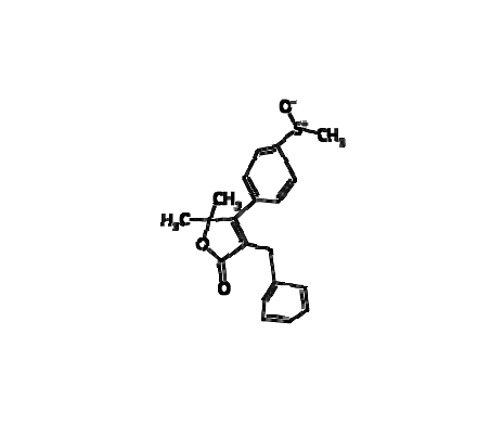 C[S+]([O-])c1ccc(C2=C(Cc3ccccc3)C(=O)OC2(C)C)cc1